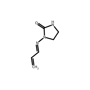 C=CC=NN1CCNC1=O